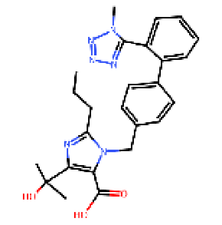 CCCc1nc(C(C)(C)O)c(C(=O)O)n1Cc1ccc(-c2ccccc2-c2nnnn2C)cc1